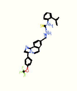 CC(C)c1ccccc1NC(=S)N/N=C/c1ccc2c(ccn3c(-c4ccc(OC(F)(F)F)cc4)cnc23)c1